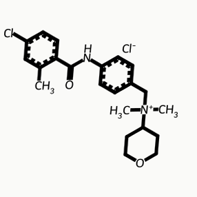 Cc1cc(Cl)ccc1C(=O)Nc1ccc(C[N+](C)(C)C2CCOCC2)cc1.[Cl-]